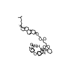 CNC(=O)c1cc(Oc2ccc3nc(N[C@H]4CCCCC4OC(=O)CCC(=O)OCCO[C@H]4CC[C@@]5(C)C(=CCC6C5CC[C@@]5(C)C6CC[C@@H]5[C@H](C)CCCC(C)C)C4)sc3c2)ccn1